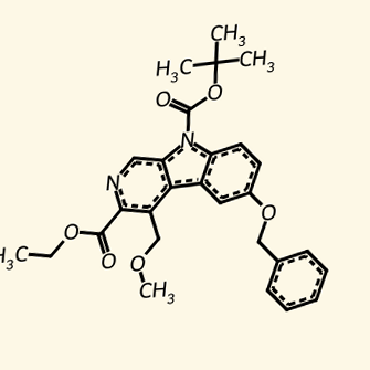 CCOC(=O)c1ncc2c(c1COC)c1cc(OCc3ccccc3)ccc1n2C(=O)OC(C)(C)C